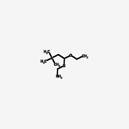 CCOC(C[Si](C)(C)C)OCN